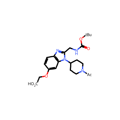 CC(=O)N1CCC(n2c(CNC(=O)OC(C)(C)C)nc3ccc(OCC(=O)O)cc32)CC1